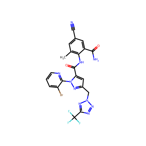 Cc1cc(C#N)cc(C(N)=O)c1NC(=O)c1cc(Cn2nnc(C(F)(F)F)n2)nn1-c1ncccc1Br